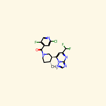 C[C@@H]1CCN(C(=O)c2cc(Cl)ncc2F)C[C@H]1c1cc(C(F)F)nc2ncnn12